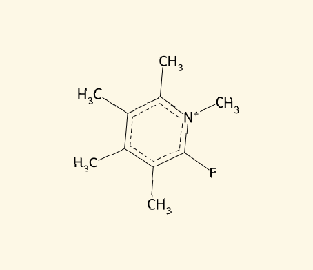 Cc1c(C)c(C)[n+](C)c(F)c1C